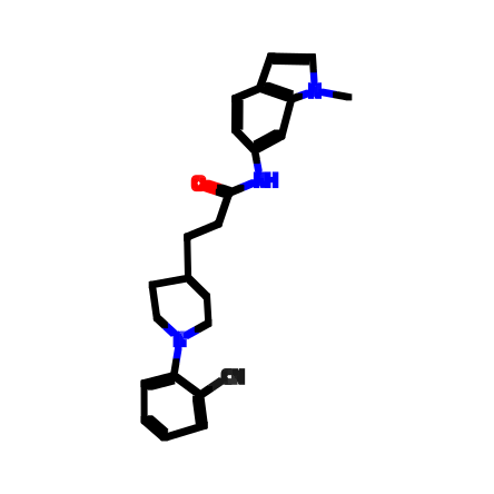 Cn1ccc2ccc(NC(=O)CCC3CCN(c4ccccc4C#N)CC3)cc21